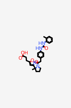 Cc1ccccc1NC(=O)Nc1ccc(CC(=O)N2CCCC2(C)c2cc(CCC(=O)O)on2)cc1